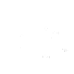 CC(C)(C)CCC(C)(CC=N)C(=O)c1ccc(Cl)c(OCc2ccccc2)c1